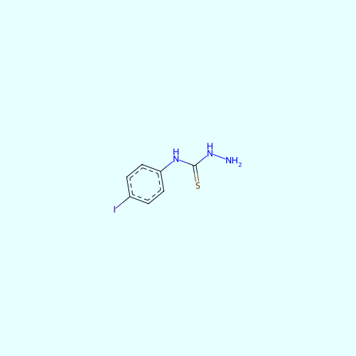 NNC(=S)Nc1ccc(I)cc1